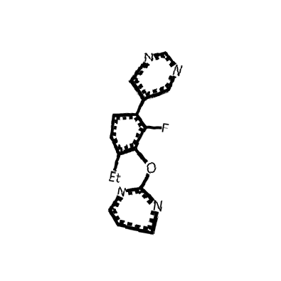 CCc1ccc(-c2cncnc2)c(F)c1Oc1ncccn1